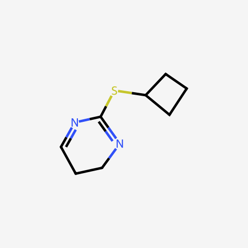 C1=NC(SC2CCC2)=NCC1